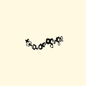 CN(Cc1ccc(N2CC3(CCN(CC4CCN(C(=O)OC(C)(C)C)CC4)CC3)C2)cc1C=O)C1CCC(=O)NC1=O